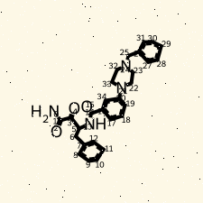 NC(=O)C(=O)C(Cc1ccccc1)NC(=O)c1cccc(N2CCN(Cc3ccccc3)CC2)c1